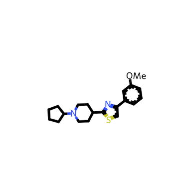 COc1cccc(-c2csc(C3CCN(C4CCCC4)CC3)n2)c1